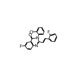 O=c1c2cc(F)ccc2nc(/C=C/c2ccccc2F)n1-c1ccccc1Cl